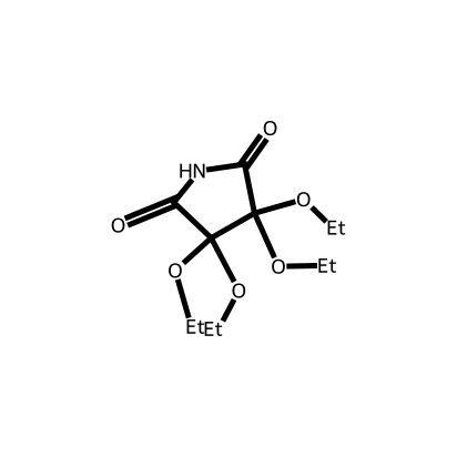 CCOC1(OCC)C(=O)NC(=O)C1(OCC)OCC